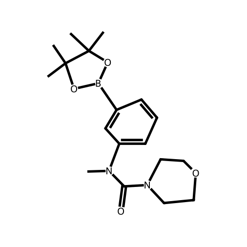 CN(C(=O)N1CCOCC1)c1cccc(B2OC(C)(C)C(C)(C)O2)c1